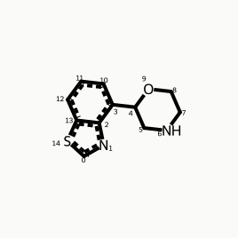 [c]1nc2c(C3CNCCO3)cccc2s1